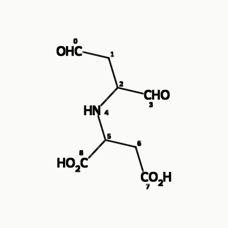 O=CCC(C=O)NC(CC(=O)O)C(=O)O